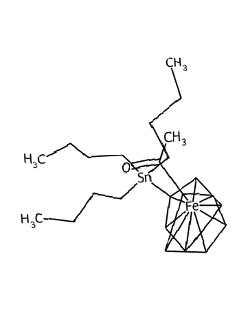 CCC[CH2][Sn]([CH2]CCC)([CH2]CCC)[C]12[CH]3[CH]4[CH]5[CH]1[Fe]45321678[CH]2[CH]1[CH]6[C]7(C(C)=O)[CH]28